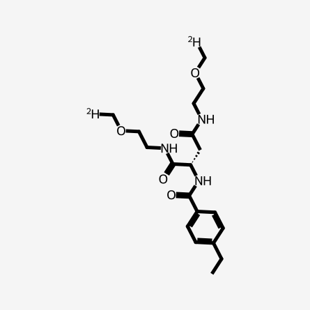 [2H]COCCNC(=O)C[C@H](NC(=O)c1ccc(CC)cc1)C(=O)NCCOC[2H]